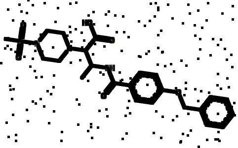 CC(NC(=O)c1ccc(OCc2ccccc2)cc1)C(C(=O)O)N1CCN(S(C)(=O)=O)CC1